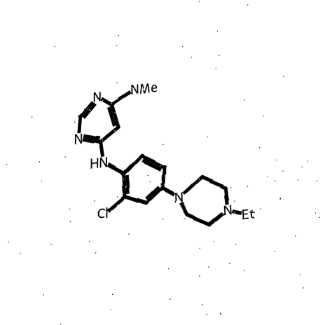 CCN1CCN(c2ccc(Nc3cc(NC)ncn3)c(Cl)c2)CC1